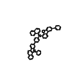 c1ccc(-c2ccc3oc4c(N(c5ccc(-c6ccc7c8ccc9ccccc9c8n(-c8ccccc8)c7c6)cc5)c5cccc6ccccc56)cccc4c3c2)cc1